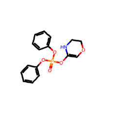 O=P(OC1=COCCN1)(Oc1ccccc1)Oc1ccccc1